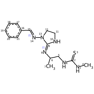 CNC(=S)NCC(C)/N=C1\NCCN1/N=C/c1ccccc1